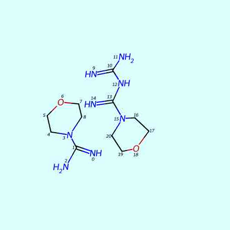 N=C(N)N1CCOCC1.N=C(N)NC(=N)N1CCOCC1